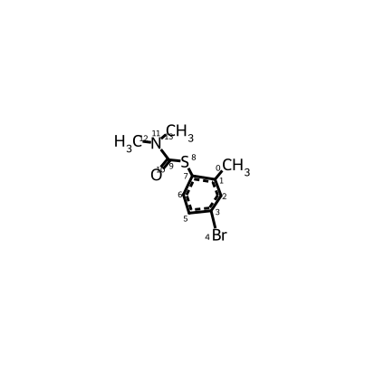 Cc1cc(Br)ccc1SC(=O)N(C)C